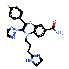 NC(=O)c1ccc2c(c1)NC(c1ccc(F)cc1)=C(n1nccn1)N2CCCc1ncc[nH]1